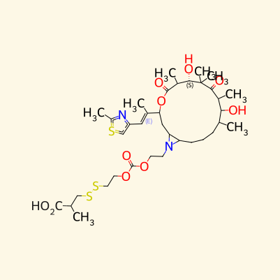 C/C(=C\c1csc(C)n1)C1CC2C(CCCC(C)C(O)C(C)C(=O)C(C)(C)[C@@H](O)C(C)C(=O)O1)N2CCOC(=O)OCCSSCC(C)C(=O)O